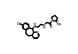 N#C[C@@H]1CCCN1C(=O)CNCCNC1c2ccc(Cl)cc2CCC2C=CC=NC21